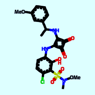 COc1cccc(C(C)Nc2c(Nc3ccc(Cl)c(S(=O)(=O)N(C)OC)c3O)c(=O)c2=O)c1